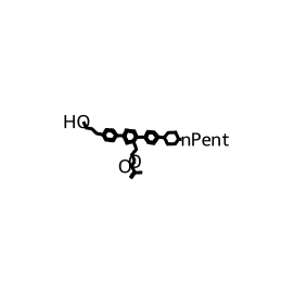 C=C(C)C(=O)OCCc1cc(-c2ccc(CCCO)cc2)ccc1-c1ccc(C2CCC(CCCCC)CC2)cc1